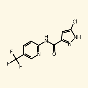 O=C(Nc1ccc(C(F)(F)F)cn1)c1cc(Cl)[nH]n1